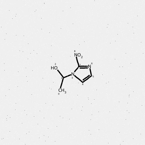 C[C](O)n1ccnc1[N+](=O)[O-]